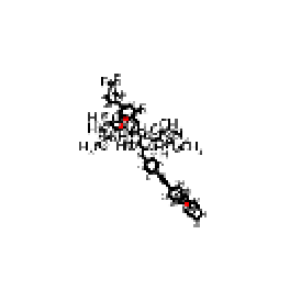 COC(=O)N[C@H](C(=O)N[C@@H](Cc1ccc(C#Cc2ccc(N3CC4CCC(C3)N4C3COC3)nc2)cc1)[C@@H](O)CN(Cc1c(F)cc(-c2ccn(C(F)F)n2)cc1F)NC(=O)[C@@H](NC(=O)OC)C(C)(C)C)C(C)(C)C